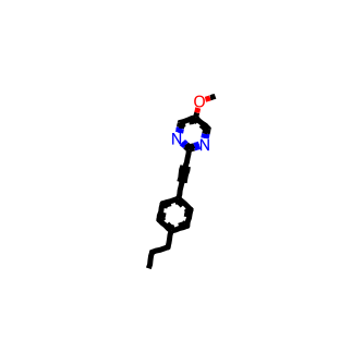 CCCc1ccc(C#Cc2ncc(OC)cn2)cc1